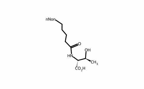 CCCCCCCCCCCCCC(=O)N[C@@H](C(=O)O)[C@H](C)O